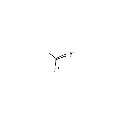 CC(=O)O.[In]